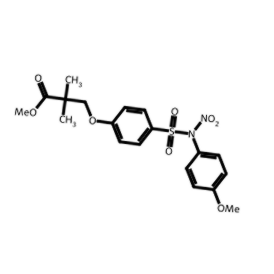 COC(=O)C(C)(C)COc1ccc(S(=O)(=O)N(c2ccc(OC)cc2)[N+](=O)[O-])cc1